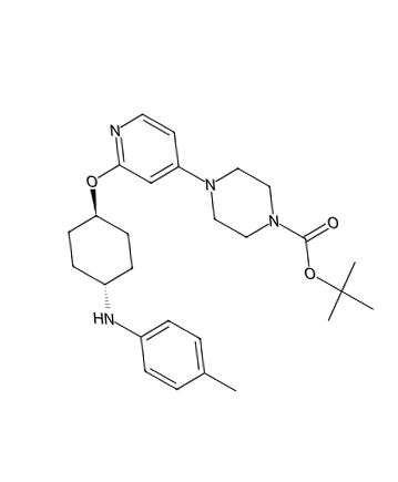 Cc1ccc(N[C@H]2CC[C@H](Oc3cc(N4CCN(C(=O)OC(C)(C)C)CC4)ccn3)CC2)cc1